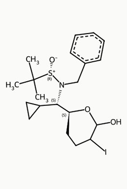 CC(C)(C)[S@+]([O-])N(Cc1ccccc1)[C@@H](C1CC1)[C@@H]1CCC(I)C(O)O1